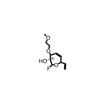 C=CC1C=CC(OCCOC)[C@@H](O)C(F)O1